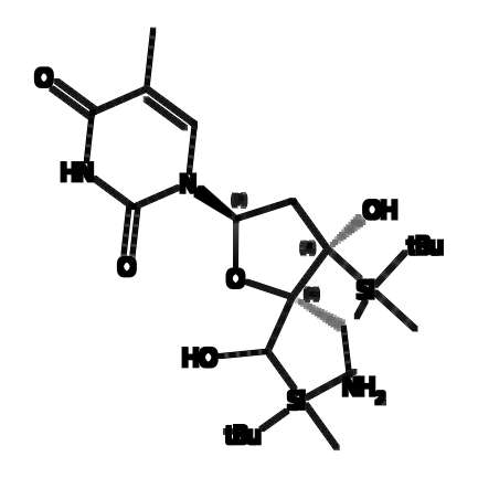 Cc1cn([C@H]2C[C@@](O)([Si](C)(C)C(C)(C)C)[C@@](CN)(C(O)[Si](C)(C)C(C)(C)C)O2)c(=O)[nH]c1=O